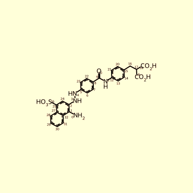 Nc1c(NNc2ccc(C(=O)Nc3ccc(CC(C(=O)O)C(=O)O)cc3)cc2)cc(S(=O)(=O)O)c2ccccc12